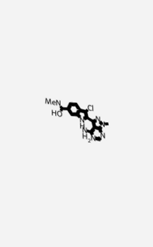 CNC(O)c1ccc2c(Cl)c(-c3nn(C)c4ncnc(N)c34)[nH]c2c1